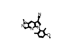 COc1ccc(C)c(-n2cc(C#N)c3cc4c(cnn4C)nc32)c1C